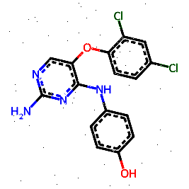 Nc1ncc(Oc2ccc(Cl)cc2Cl)c(Nc2ccc(O)cc2)n1